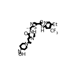 C=C(/C=C(\N=C/C)C(=O)N[C@H](C)c1ncc(C(=O)Nc2cc(C(F)(F)F)c(CC)cn2)s1)N1CCC(=NO)CC1